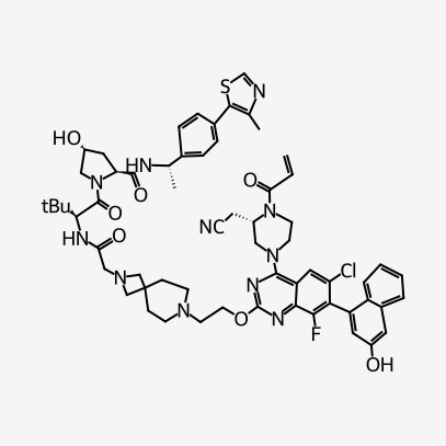 C=CC(=O)N1CCN(c2nc(OCCN3CCC4(CC3)CN(CC(=O)N[C@H](C(=O)N3C[C@H](O)C[C@H]3C(=O)N[C@@H](C)c3ccc(-c5scnc5C)cc3)C(C)(C)C)C4)nc3c(F)c(-c4cc(O)cc5ccccc45)c(Cl)cc23)C[C@@H]1CC#N